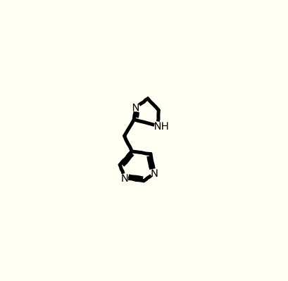 c1ncc(CC2=NCCN2)cn1